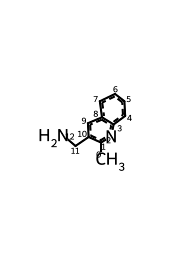 Cc1nc2ccccc2cc1CN